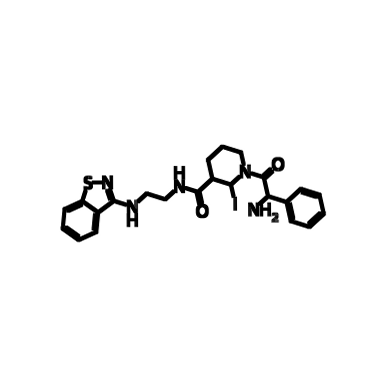 NC(C(=O)N1CCCC(C(=O)NCCNc2nsc3ccccc23)C1I)c1ccccc1